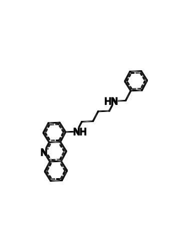 c1ccc(CNCCCCNc2cccc3nc4ccccc4cc23)cc1